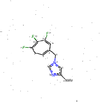 CNc1cn(CC2=CCC(F)=C(F)C(F)=C2)cn1